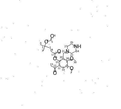 CC(C)(C)OC=O.COc1cc(C(C)=O)c(OC(C)=O)c(CN2CCNCC2)c1OC